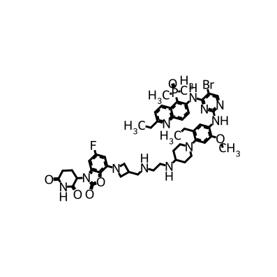 CCc1ccc2c(P(C)(C)=O)c(Nc3nc(Nc4cc(CC)c(N5CCC(NCCNCC6CN(c7cc(F)cc8c7oc(=O)n8C7CCC(=O)NC7=O)C6)CC5)cc4OC)ncc3Br)ccc2n1